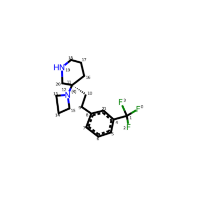 FC(F)(F)c1cccc(CC[C@@]2(N3CCC3)CCCNC2)c1